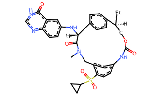 CC[C@H]1COC(=O)Nc2ccc(S(=O)(=O)C3CC3)c(c2)CN(C)C(=O)[C@H](Nc2ccc3nc[nH]c(=O)c3c2)c2ccc1cc2